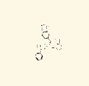 O=C(N[C@H](CN1CCCC1)[C@H](O)c1ccc2c(c1)OCCO2)C(=O)c1ccccc1